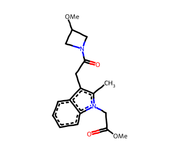 COC(=O)Cn1c(C)c(CC(=O)N2CC(OC)C2)c2ccccc21